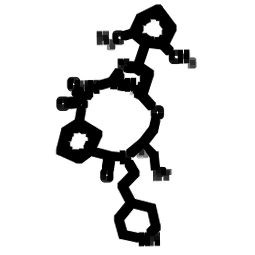 Cc1cccc(C)c1-c1cc2nc(n1)NS(=O)(=O)c1cccc(c1)C(=O)N(CCC1CCNCC1)[C@H](CC(C)C)CO2